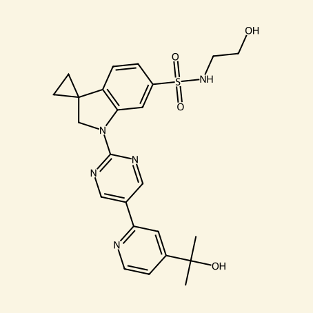 CC(C)(O)c1ccnc(-c2cnc(N3CC4(CC4)c4ccc(S(=O)(=O)NCCO)cc43)nc2)c1